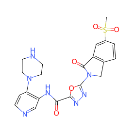 CS(=O)(=O)c1ccc2c(c1)C(=O)N(c1nnc(C(=O)Nc3cnccc3N3CCNCC3)o1)C2